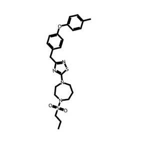 CCCS(=O)(=O)N1CCCN(c2nc(Cc3ccc(Oc4ccc(C)cc4)cc3)ns2)CC1